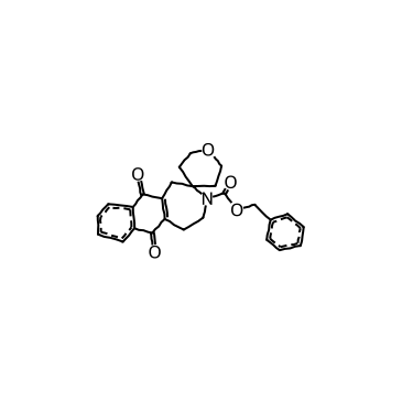 O=C1C2=C(CC3(CCOCC3)N(C(=O)OCc3ccccc3)CC2)C(=O)c2ccccc21